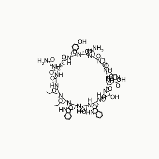 CCCC[C@H]1C(=O)N(C)[C@@H](CCCC)C(=O)N[C@@H](C)C(=O)N[C@H](C(=O)NCC(N)=O)CSCC(=O)N[C@@H](Cc2ccc(O)cc2)C(=O)N(C)[C@@H](C)C(=O)N[C@@H](CC(N)=O)C(=O)N2CCC[C@H]2C(=O)N[C@@H](Cc2cnc[nH]2)C(=O)N[C@@H](CCC(=O)O)C(=O)N2C[C@H](O)C[C@H]2C(=O)N[C@@H](Cc2c[nH]c3ccccc23)C(=O)N[C@@H](CO)C(=O)N[C@@H](Cc2c[nH]c3ccccc23)C(=O)N1C